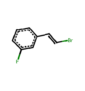 Fc1cccc(C=CBr)c1